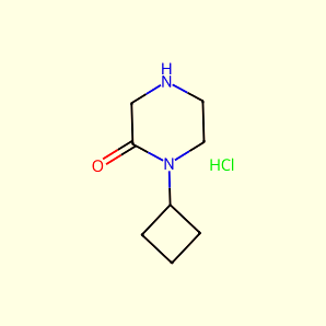 Cl.O=C1CNCCN1C1CCC1